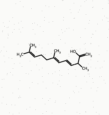 C=C(O)C(C)/C=C/C=C(\C)CCC=C(C)C